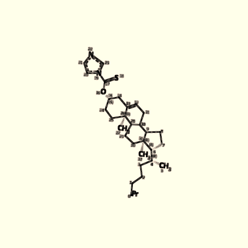 CC(C)CCC[C@@H](C)[C@H]1CCC2C3CC=C4C[C@@H](OC(=S)n5ccnc5)CC[C@]4(C)C3CC[C@@]21C